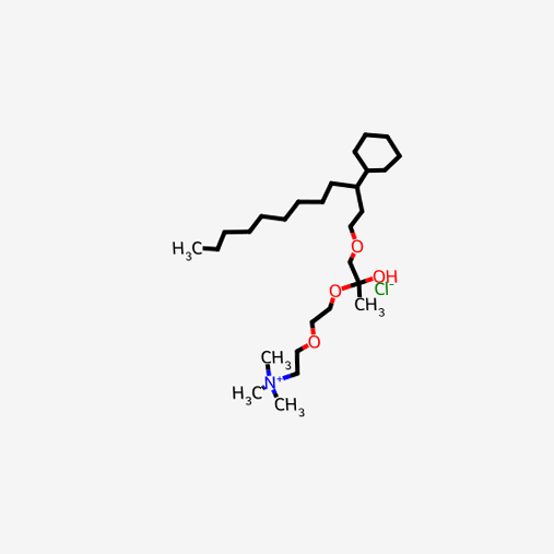 CCCCCCCCCC(CCOCC(C)(O)OCCOCC[N+](C)(C)C)C1CCCCC1.[Cl-]